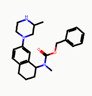 CC1CN(c2ccc3c(c2)C(N(C)C(=O)OCc2ccccc2)CCC3)CCN1